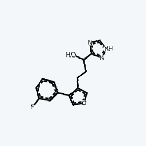 OC(CCc1cocc1-c1cccc(F)c1)c1nc[nH]n1